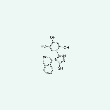 Oc1cc(O)c(-c2nnc(S)n2-c2cccc3ccccc23)cc1O